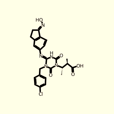 C[C@@H](C(=O)O)[C@H](C)n1c(=O)[nH]/c(=N\c2ccc3c(c2)CC/C3=N\O)n(Cc2ccc(Cl)cc2)c1=O